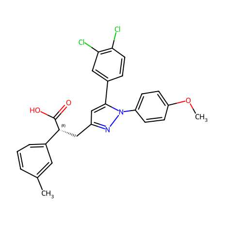 COc1ccc(-n2nc(C[C@@H](C(=O)O)c3cccc(C)c3)cc2-c2ccc(Cl)c(Cl)c2)cc1